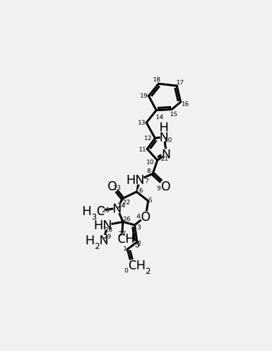 C=C/C=C1/OC[C@H](NC(=O)c2cc(Cc3ccccc3)[nH]n2)C(=O)N(C)C1(C)NN